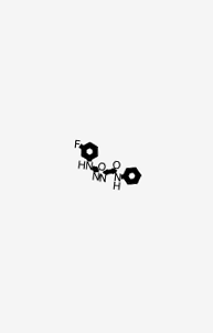 O=C(Nc1ccccc1)c1nnc(Nc2cccc(F)c2)o1